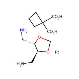 NC[C@@H]1OCO[C@H]1CN.O=C(O)C1(C(=O)O)CCC1.[Pt]